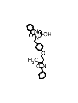 Cc1oc(-c2ccccc2)nc1CCOc1ccc(CN(CC(=O)O)c2nc3ccccc3o2)cc1